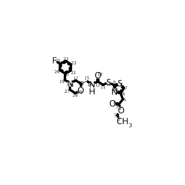 CCOC(=O)Cc1csc(SCC(=O)NC[C@H]2CN(Cc3cccc(F)c3)CCO2)n1